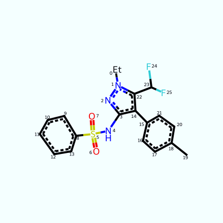 CCn1nc(NS(=O)(=O)c2ccccc2)c(-c2ccc(C)cc2)c1C(F)F